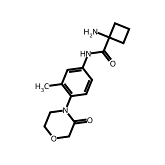 Cc1cc(NC(=O)C2(N)CCC2)ccc1N1CCOCC1=O